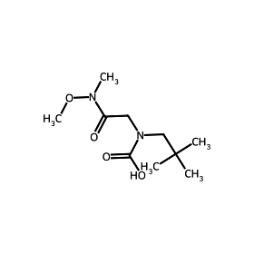 CON(C)C(=O)CN(CC(C)(C)C)C(=O)O